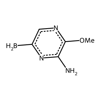 Bc1cnc(OC)c(N)n1